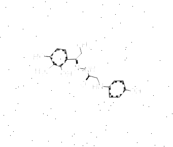 CC/C(=N\NC(=O)CNc1ccc(O)cc1)c1ccc(O)c(C)c1O